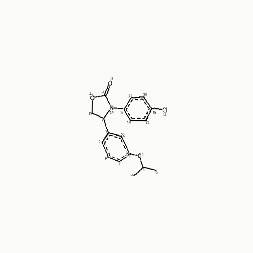 CC(C)Oc1cccc(C2COC(=O)N2c2ccc(Cl)cc2)c1